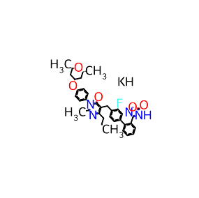 CCCc1nc(C)n(-c2ccc(O[C@H]3C[C@@H](C)O[C@@H](C)C3)cc2)c(=O)c1Cc1ccc(-c2ccccc2-c2noc(=O)[nH]2)cc1F.[KH]